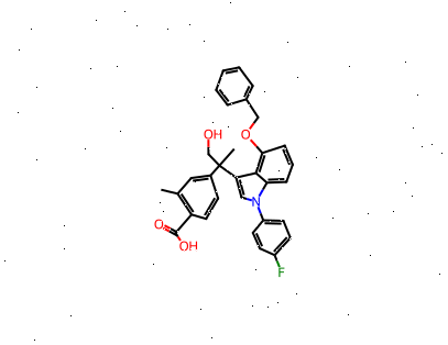 Cc1cc(C(C)(CO)c2cn(-c3ccc(F)cc3)c3cccc(OCc4ccccc4)c23)ccc1C(=O)O